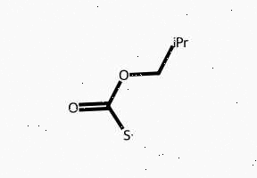 CC(C)COC(=O)[S]